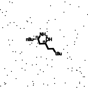 CCCC[C@H](N)C[C@H](O)CCC(C)(C)C